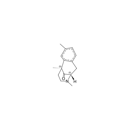 Cc1ccc2c(c1)[C@]1(C)CCN(C)[C@@H](C2)C1=O